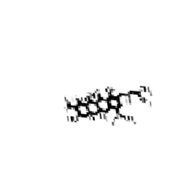 CC(N)CNCc1cc(N(C)C)c2c(c1O)C(=O)C1=C(O)[C@]3(O)C(=O)C(C(N)=O)=C(O)C[C@@H]3C[C@@H]1C2